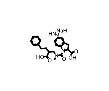 CN(CC(CCc1ccccc1)C(=O)O)C(=O)N1c2ccccc2CC1C(=O)O.[NaH].[NaH]